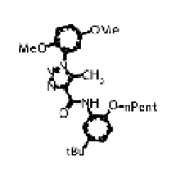 CCCCCOc1ccc(C(C)(C)C)cc1NC(=O)c1nnn(-c2cc(OC)ccc2OC)c1C